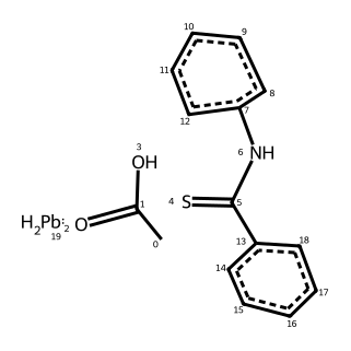 CC(=O)O.S=C(Nc1ccccc1)c1ccccc1.[PbH2]